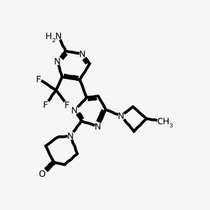 CC1CN(c2cc(-c3cnc(N)nc3C(F)(F)F)nc(N3CCC(=O)CC3)n2)C1